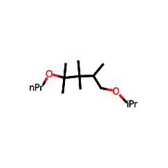 CCCOC(C)(C)C(C)(C)C(C)COC(C)C